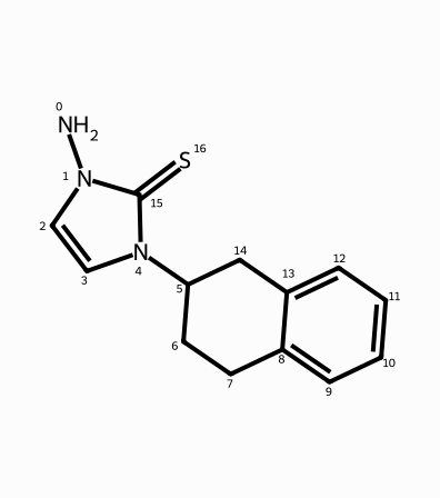 Nn1ccn(C2CCc3ccccc3C2)c1=S